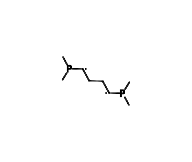 CP(C)[CH]CC[CH]P(C)C